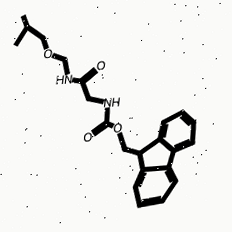 CC(C)COCNC(=O)CNC(=O)OCC1c2ccccc2-c2ccccc21